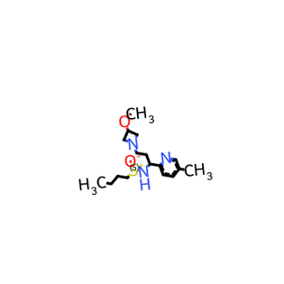 CCCC[S@@+]([O-])NC(CCN1CC(OC)C1)c1ccc(C)cn1